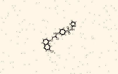 O=C(COc1ccnc2ccc(C(F)(F)F)cc12)Nc1ccc(S(=O)(=O)Nc2nccs2)cc1